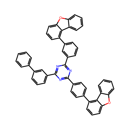 c1ccc(-c2cccc(-c3nc(-c4ccc(-c5cccc6oc7ccccc7c56)cc4)nc(-c4cccc(-c5cccc6oc7ccccc7c56)c4)n3)c2)cc1